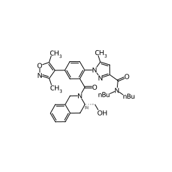 CCCCN(CCCC)C(=O)c1cc(C)n(-c2ccc(-c3c(C)noc3C)cc2C(=O)N2Cc3ccccc3C[C@H]2CO)n1